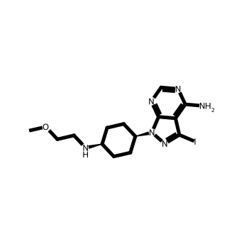 COCCN[C@H]1CC[C@@H](n2nc(I)c3c(N)ncnc32)CC1